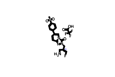 CS(=O)(=O)c1ccc(-c2ccc3nn(C/C(=C/F)CN)c(=O)n3c2)cc1.O=C(O)C(F)(F)F